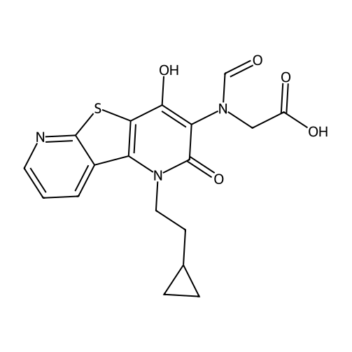 O=CN(CC(=O)O)c1c(O)c2sc3ncccc3c2n(CCC2CC2)c1=O